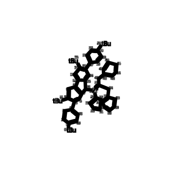 CC(C)(C)c1ccc(-c2cc3c(cc2C(C)(C)C)-c2cc(C(C)(C)C)c(-c4ccc(C(C)(C)C)cc4)cc2[CH]3[Zr]([C]2=CC=CC2)=[C](Cc2ccccc2)Cc2ccccc2)cc1